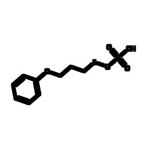 O=S(=O)(O)OSCCCOc1ccccc1